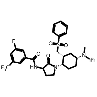 CC(C)N(C)[C@@H]1CC[C@H](N2CCC(NC(=O)c3cc(F)cc(C(F)(F)F)c3)C2=O)[C@H](CS(=O)(=O)c2ccccc2)C1